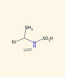 C=C.CCC([SiH3])NS(=O)(=O)O